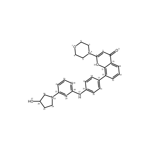 O=c1cc(N2CCOCC2)oc2c(-c3ccc(Nc4nccc(N5CCC(O)C5)n4)cc3)cccc12